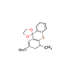 COC1=CC2=C(Sc3ccccc3C23OCCO3)C(C)C1